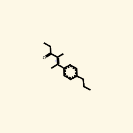 CCCc1ccc(/C(C)=C(\C)C(=O)CC)cc1